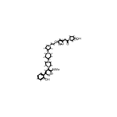 CNc1nnc(-c2ccccc2O)cc1N1CCN(C2CCN(C3CCN(CCOc4cc(CC(=O)N5CC[C@@H](O)C5)on4)C3)CC2)CC1